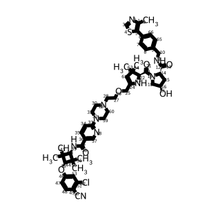 Cc1ncsc1-c1ccc(CNC(=O)[C@@H]2C[C@@H](O)CN2C(=O)[C@H]2NC(COCCN3CCN(c4ccc(C(=O)N[C@H]5C(C)(C)[C@H](Oc6ccc(C#N)c(Cl)c6)C5(C)C)cn4)CC3)=CC2(C)C)cc1